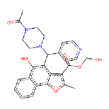 CC(=O)N1CCN(C(c2ccncc2)c2c(O)c3ccccc3c3oc(C)c(C(=O)OCO)c23)CC1